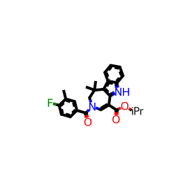 Cc1cc(C(=O)N2C=C(C(=O)OC(C)C)c3[nH]c4ccccc4c3C(C)(C)C2)ccc1F